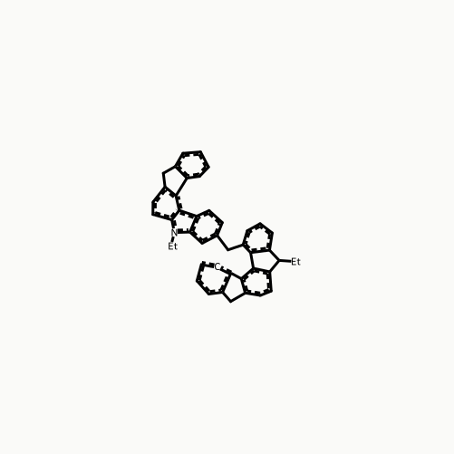 CCC1c2cccc(Cc3ccc4c5c6c(ccc5n(CC)c4c3)Cc3ccccc3-6)c2-c2c1ccc1c2-c2ccccc2C1